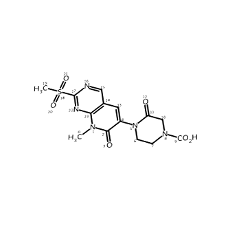 Cn1c(=O)c(N2CCN(C(=O)O)CC2=O)cc2cnc(S(C)(=O)=O)nc21